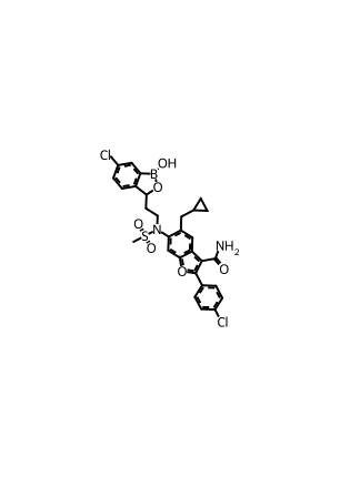 CS(=O)(=O)N(CCC1OB(O)c2cc(Cl)ccc21)c1cc2oc(-c3ccc(Cl)cc3)c(C(N)=O)c2cc1CC1CC1